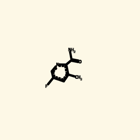 Cc1cc(F)cnc1C(N)=O